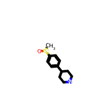 C[S+]([O-])c1ccc(C2CC[N]CC2)cc1